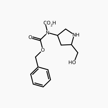 O=C(O)N(C(=O)OCc1ccccc1)C1CNC(CO)C1